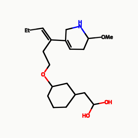 CC/C=C(\CCOC1CCCC(CC(O)O)C1)C1=CCC(OC)NC1